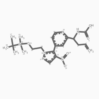 C=CCC(NC(=O)O)c1cc(-c2c([N+](=O)[O-])cnn2CCO[Si](C)(C)C(C)(C)C)ccn1